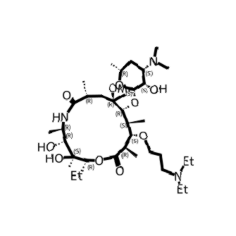 CC[C@H]1OC(=O)[C@H](C)[C@@H](OCCCN(CC)CC)[C@H](C)[C@@H](O[C@@H]2O[C@H](C)C[C@H](N(C)C)[C@@H]2O)[C@](C)(OC)C[C@@H](C)C(=O)N[C@H](C)[C@@H](O)[C@]1(C)O